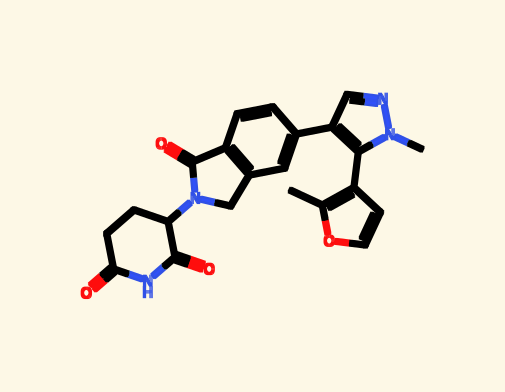 Cc1occc1-c1c(-c2ccc3c(c2)CN(C2CCC(=O)NC2=O)C3=O)cnn1C